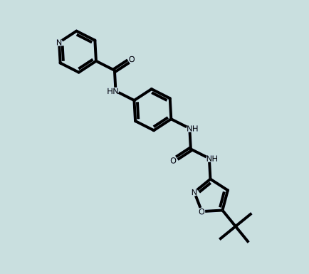 CC(C)(C)c1cc(NC(=O)Nc2ccc(NC(=O)c3ccncc3)cc2)no1